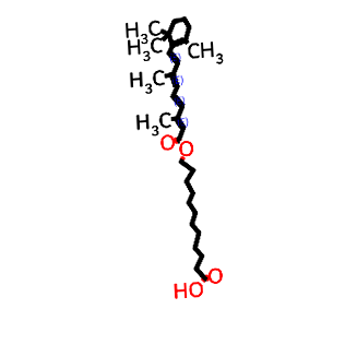 CC1=C(/C=C/C(C)=C/C=C/C(C)=C/C(=O)OCCCCCCCCCCCC(=O)O)C(C)(C)CCC1